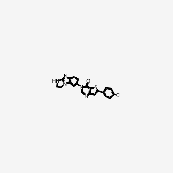 O=c1c2sc(-c3ccc(Cl)cc3)cc2ncn1-c1ccc2nc3n(c2c1)CCN3